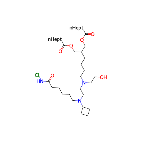 CCCCCCCC(=O)OCC(CCCCN(CCO)CCN(CCCCCC(=O)NCl)C1CCC1)COC(=O)CCCCCCC